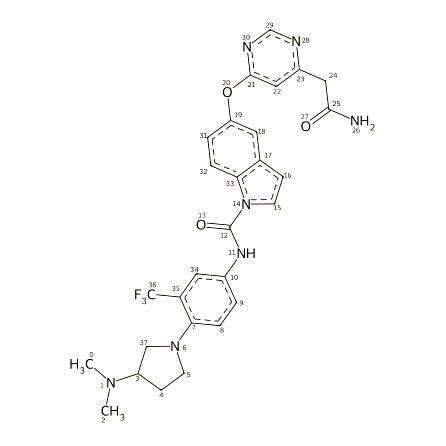 CN(C)C1CCN(c2ccc(NC(=O)n3ccc4cc(Oc5cc(CC(N)=O)ncn5)ccc43)cc2C(F)(F)F)C1